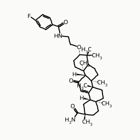 CC1(C)C2CC[C@]3(C)[C@H](C(=O)C=C4[C@H]5C[C@@](C)(C(N)=O)CC[C@]5(C)CC[C@]43C)[C@@]2(C)CC[C@@H]1OCCNC(=O)c1ccc(F)cc1